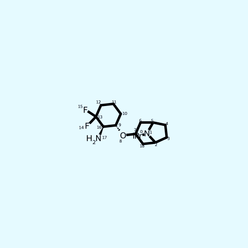 CC(C)N1C2CCC1CC(O[C@H]1CCCC(F)(F)[C@@H]1N)C2